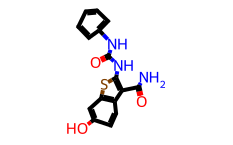 NC(=O)c1c(NC(=O)Nc2ccccc2)sc2cc(O)ccc12